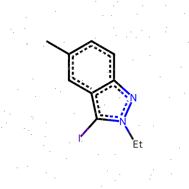 CCn1nc2ccc(C)cc2c1I